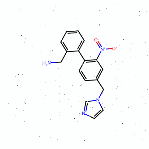 NCc1ccccc1-c1ccc(Cn2ccnc2)cc1[N+](=O)[O-]